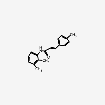 Cc1ccc(/C=C/C(=O)Nc2cccc(C)c2C)cc1